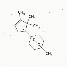 CC1=CCC(C23CCC(C)(CC2)OC3)C1(C)C